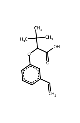 C=Cc1cccc(OC(C(=O)O)C(C)(C)C)c1